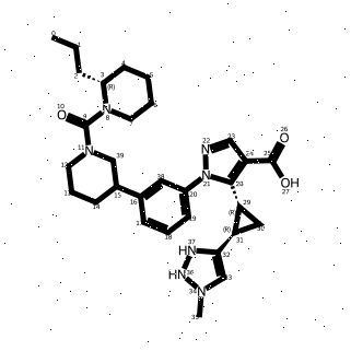 CCC[C@@H]1CCCCN1C(=O)N1CCCC(c2cccc(-n3ncc(C(=O)O)c3[C@@H]3C[C@H]3C3=CN(C)NN3)c2)C1